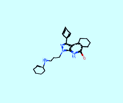 O=c1[nH]c2c(c(C3=CC=C3)nn2CCCNC2CCCCC2)c2c1CCCC2